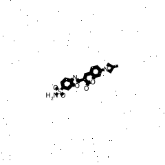 CC1CN(c2ccc3cc(-c4nc5ccc(S(N)(=O)=O)cc5o4)c(=O)oc3c2)C1